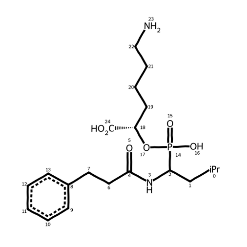 CC(C)CC(NC(=O)CCc1ccccc1)P(=O)(O)O[C@@H](CCCCN)C(=O)O